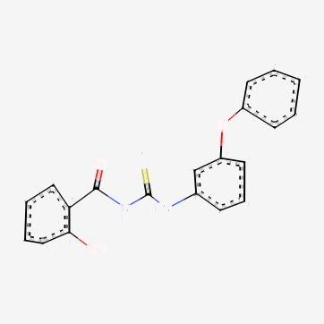 O=C(NC(=S)Nc1cccc(Oc2ccccc2)c1)c1ccccc1O